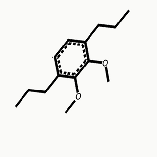 CCCc1[c]cc(CCC)c(OC)c1OC